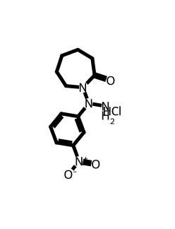 Cl.NN(c1cccc([N+](=O)[O-])c1)N1CCCCCC1=O